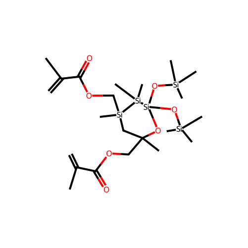 C=C(C)C(=O)OCC1(C)C[Si](C)(COC(=O)C(=C)C)[Si](C)(C)[Si](O[Si](C)(C)C)(O[Si](C)(C)C)O1